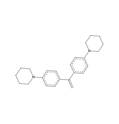 C=C(c1ccc(N2CCCCC2)cc1)c1ccc(N2CCCCC2)cc1